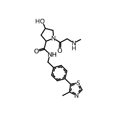 CNCC(=O)N1CC(O)CC1C(=O)NCc1ccc(-c2scnc2C)cc1